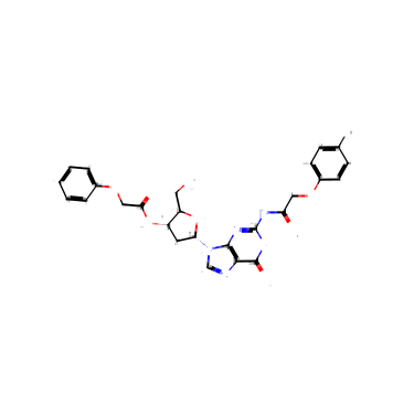 CCCCc1ccc(OCC(=O)Nc2nc3c(ncn3[C@H]3C[C@@H](OC(=O)COc4ccccc4)C(CO)O3)c(=O)[nH]2)cc1